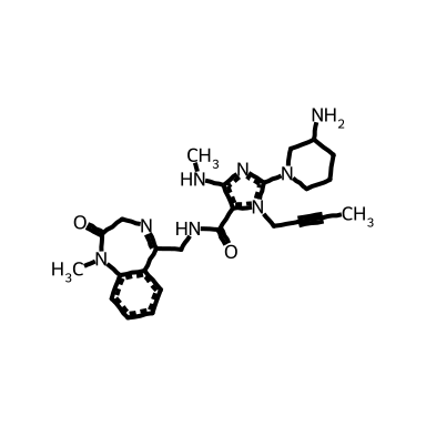 CC#CCn1c(N2CCCC(N)C2)nc(NC)c1C(=O)NCC1=NCC(=O)N(C)c2ccccc21